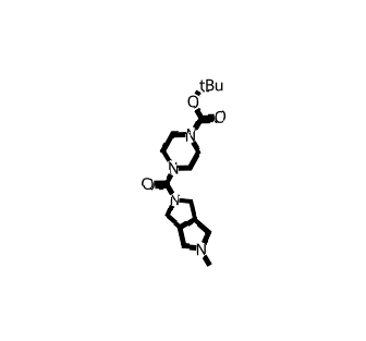 CN1CC2CN(C(=O)N3CCN(C(=O)OC(C)(C)C)CC3)CC2C1